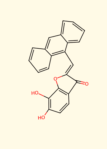 O=C1C(=Cc2c3ccccc3cc3ccccc23)Oc2c1ccc(O)c2O